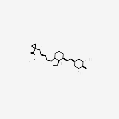 C=C1[C@H](O)CC(=C/C=C2\CCC[C@]3(C)[C@@H]([C@H](C)/C=C/[C@H](O)C4(C(=O)SCCCC)CC4)CC[C@@H]23)C[C@H]1O